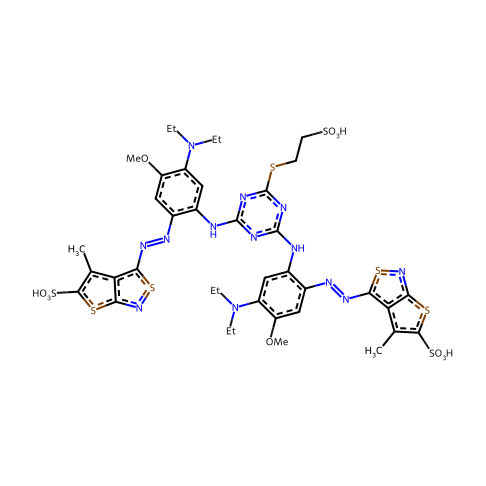 CCN(CC)c1cc(Nc2nc(Nc3cc(N(CC)CC)c(OC)cc3/N=N/c3snc4sc(S(=O)(=O)O)c(C)c34)nc(SCCS(=O)(=O)O)n2)c(/N=N/c2snc3sc(S(=O)(=O)O)c(C)c23)cc1OC